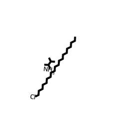 CC(C)C(C)C.CCCCCCCCCCCCCCCCCCCCCl.N